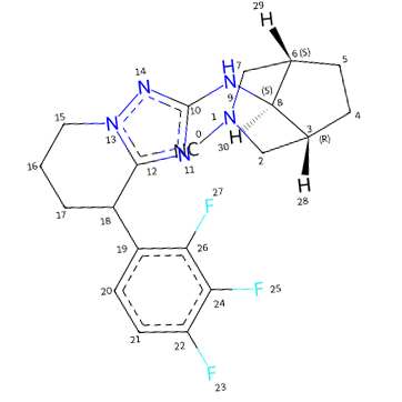 N#CN1C[C@H]2CC[C@@H](C1)[C@@H]2Nc1nc2n(n1)CCCC2c1ccc(F)c(F)c1F